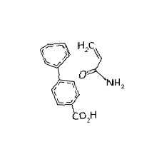 C=CC(N)=O.O=C(O)c1ccc(-c2ccccc2)cc1